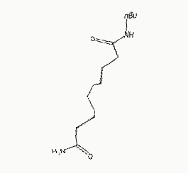 CCCCNC(=O)CCCCCCC(N)=O